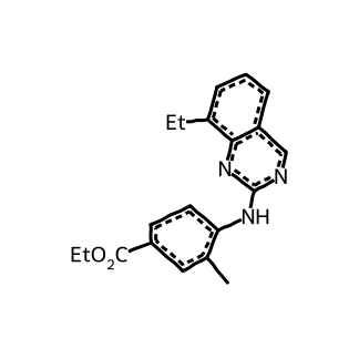 CCOC(=O)c1ccc(Nc2ncc3cccc(CC)c3n2)c(C)c1